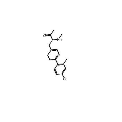 CN[C@@H](CC1=CN=C(c2ccc(Cl)cc2C)CC1)C(C)=O